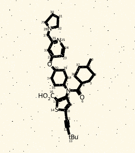 CC1CCC(C(=O)N(c2cc(C#CC(C)(C)C)sc2C(=O)O)C2CCC(Oc3ccnc(CN4CCCC4)c3)CC2)CC1